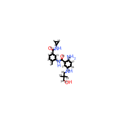 Cc1ccc(C(=O)NC2CC2)cc1NC(=O)c1cc(NCC(C)(C)CO)ccc1N